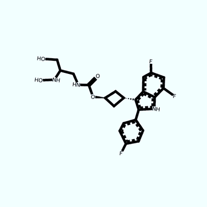 O=C(NCC(CO)NO)O[C@H]1C[C@H](c2c(-c3ccc(F)cc3)[nH]c3c(F)cc(F)cc32)C1